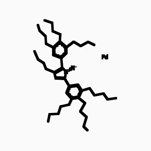 CCCCCc1cc(C2=CC(CCCC)=C(c3cc(CCCC)c(CCCC)c(CCCC)c3)[N+]2=[N-])cc(CCCCC)c1CCCCC.[Pd]